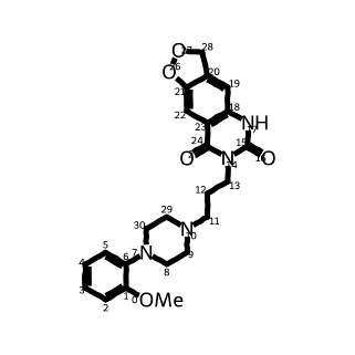 COc1ccccc1N1CCN(CCCn2c(=O)[nH]c3cc4c(cc3c2=O)OOC4)CC1